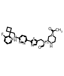 CC(=O)N1CCN[C@@H](N(C=O)Cc2cnc(-c3ccc(NCC4(c5ncccc5F)CCC4)nn3)s2)C1